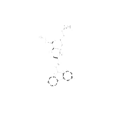 CC(C)(C)OC(=O)C(=O)[C@@H](CCCCN)NC(=O)OCC1c2ccccc2-c2ccccc21